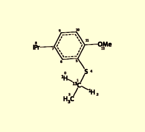 [1H][13C]([1H])(C)Sc1cc(C(C)C)ccc1OC